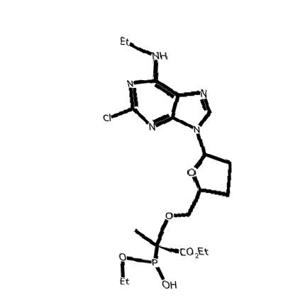 CCNc1nc(Cl)nc2c1ncn2C1CCC(CO[C@](C)(C(=O)OCC)P(O)OCC)O1